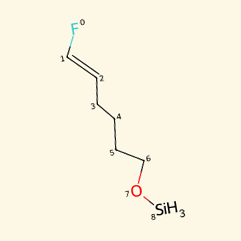 FC=CCCCCO[SiH3]